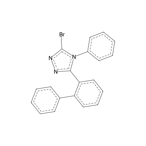 Brc1nnc(-c2ccccc2-c2ccccc2)n1-c1ccccc1